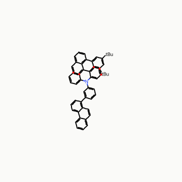 CC(C)(C)c1cc(-c2cccc3cccc(-c4ccccc4N(c4ccccc4)c4cccc(-c5cccc6c5ccc5ccccc56)c4)c23)cc(C(C)(C)C)c1